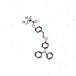 C=C(C)C(=O)Oc1ccc(CCOc2ccc(N(c3ccccc3)c3ccccc3)cc2)cc1